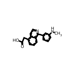 CNc1cccc(-c2nccc3c(CC(=O)O)cccc23)c1